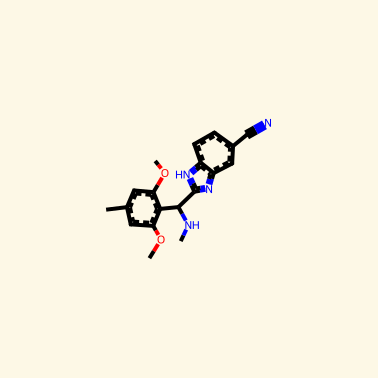 CNC(c1nc2cc(C#N)ccc2[nH]1)c1c(OC)cc(C)cc1OC